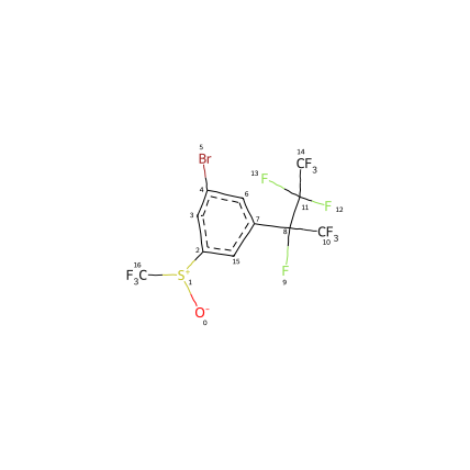 [O-][S+](c1[c]c(Br)cc(C(F)(C(F)(F)F)C(F)(F)C(F)(F)F)c1)C(F)(F)F